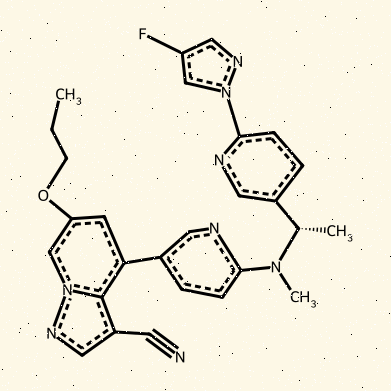 CCCOc1cc(-c2ccc(N(C)[C@@H](C)c3ccc(-n4cc(F)cn4)nc3)nc2)c2c(C#N)cnn2c1